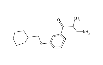 CC(CN)C(=O)c1cccc(SCC2CCCCC2)c1